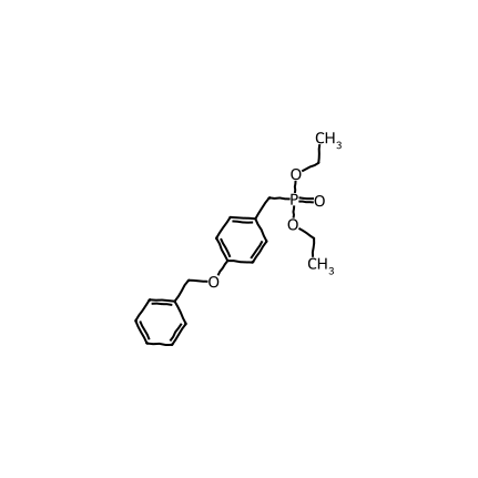 CCOP(=O)(Cc1ccc(OCc2ccccc2)cc1)OCC